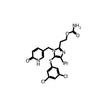 CC(C)c1nc(CCOC(N)=O)n(Cc2ccc(=O)[nH]c2)c1Sc1cc(Cl)cc(Cl)c1